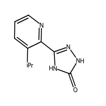 CC(C)c1cccnc1-c1n[nH]c(=O)[nH]1